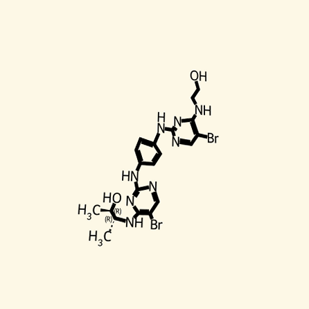 C[C@@H](O)[C@@H](C)Nc1nc(Nc2ccc(Nc3ncc(Br)c(NCCO)n3)cc2)ncc1Br